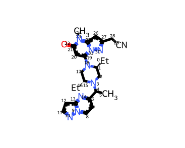 CC[C@H]1CN(C(C)c2ccn3nccc3n2)[C@H](CC)CN1c1cc(=O)n(C)c2cc(CC#N)nn12